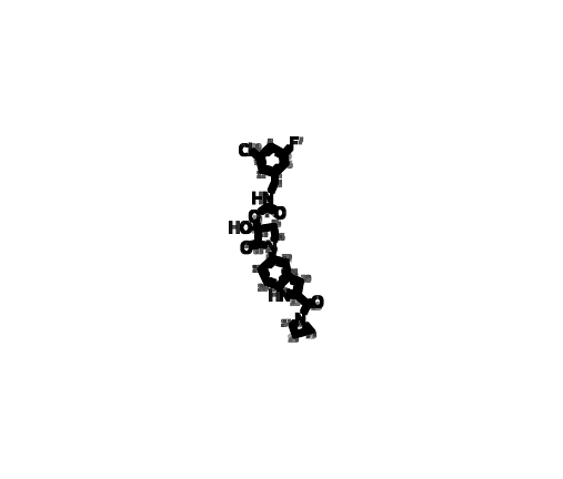 O=C(NCc1cc(F)cc(Cl)c1)O[C@@]1(O)CCN(c2ccc3[nH]c(C(=O)N4CCC4)cc3c2)C1=O